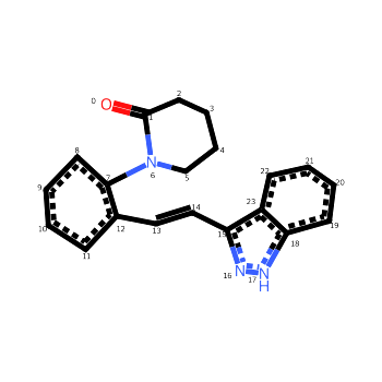 O=C1CCCCN1c1ccccc1C=Cc1n[nH]c2ccccc12